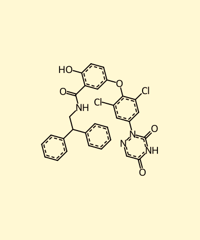 O=C(NCC(c1ccccc1)c1ccccc1)c1cc(Oc2c(Cl)cc(-n3ncc(=O)[nH]c3=O)cc2Cl)ccc1O